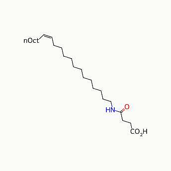 CCCCCCCC/C=C\CCCCCCCCCCCCNC(=O)CCC(=O)O